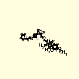 COc1cc(C)c(S(=O)(=O)N(C)CCOCC(=O)N(C)C2CC(OCCN3CCCC3)C2)c(C)c1